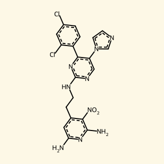 Nc1cc(CCNc2ncc(-n3ccnc3)c(-c3ccc(Cl)cc3Cl)n2)c([N+](=O)[O-])c(N)n1